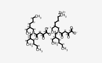 CCCCC(CC)CN(CC(CC)CCCC)C(=O)CC(=O)C(=O)[O-].CCCCC(CC)CN(CC(CC)CCCC)C(=O)CC(=O)C(=O)[O-].[Zn+2]